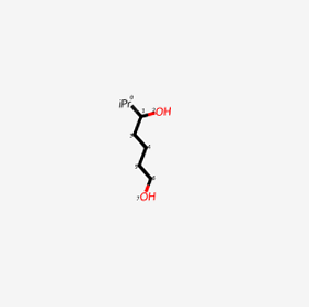 CC(C)C(O)CCCCO